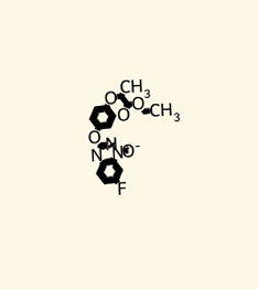 CCOC(=O)C(C)Oc1ccc(Oc2nc3ccc(F)cc3[n+]([O-])n2)cc1